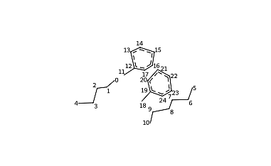 CCCCC.CCCCCC.Cc1ccccc1.Cc1ccccc1